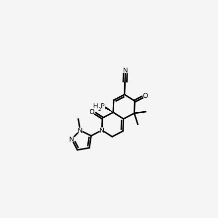 Cn1nccc1N1CC=C2C(C)(C)C(=O)C(C#N)=C[C@@]2(P)C1=O